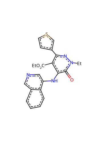 CCOC(=O)c1c(-c2ccsc2)nn(CC)c(=O)c1Nc1cncc2ccccc12